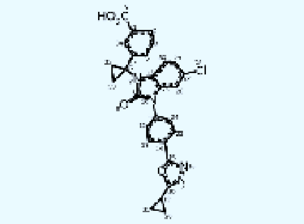 O=C(O)c1cccc(C2(n3c(=O)n(-c4ccc(-c5nnc(C6CC6)o5)cc4)c4cc(Cl)ccc43)CC2)c1